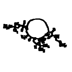 C=CCNC(=O)C(=O)[C@@H]1CCCCCCCN(S(=O)(=O)CC[Si](C)(C)C)C[C@H](N)C(=O)N2C[C@H]3[C@@H]([C@H]2C(=O)N1)C3(C)C